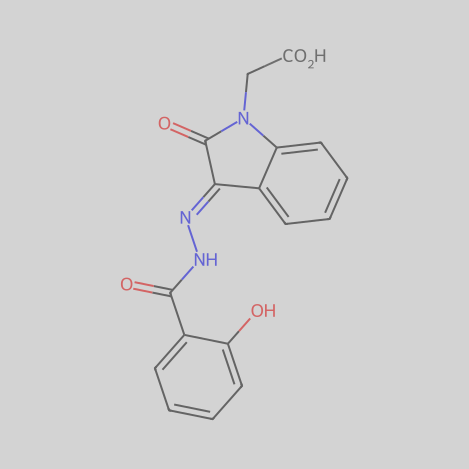 O=C(O)CN1C(=O)/C(=N/NC(=O)c2ccccc2O)c2ccccc21